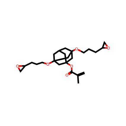 C=C(C)C(=O)OC12CC3CC(OCCCC4CO4)(CC(OCCCC4CO4)(C3)C1)C2